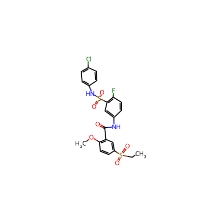 CCS(=O)(=O)c1ccc(OC)c(C(=O)Nc2ccc(F)c(S(=O)(=O)Nc3ccc(Cl)cc3)c2)c1